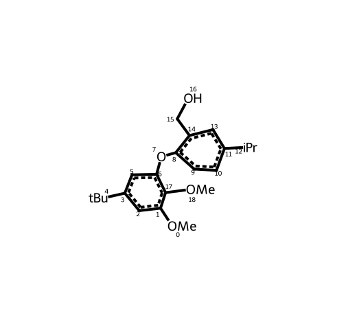 COc1cc(C(C)(C)C)cc(Oc2ccc(C(C)C)cc2CO)c1OC